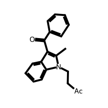 CC(=O)CCn1c(C)c(C(=O)c2ccccc2)c2ccccc21